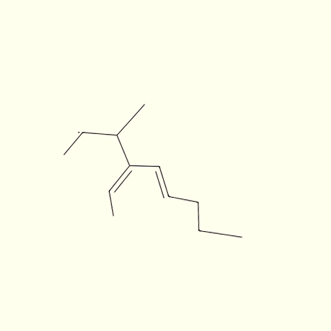 C[CH]C(C)C(C=CCCC)=CC